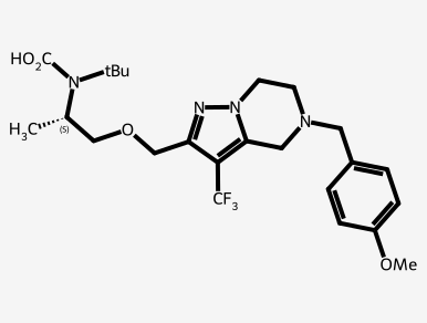 COc1ccc(CN2CCn3nc(COC[C@H](C)N(C(=O)O)C(C)(C)C)c(C(F)(F)F)c3C2)cc1